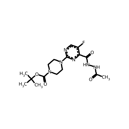 CC(=O)NNC(=O)c1nc(N2CCN(C(=O)OC(C)(C)C)CC2)ncc1F